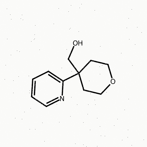 OCC1(c2ccccn2)CCOCC1